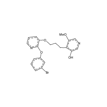 COc1cncc(O)c1CCCOc1cccnc1Oc1cccc(Br)c1